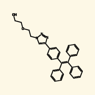 OCCOCCn1cc(-c2ccc(C(=C(c3ccccc3)c3ccccc3)c3ccccc3)cc2)nn1